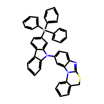 c1ccc([Si](c2ccccc2)(c2ccccc2)c2ccc3c4ccccc4n(-c4ccc5nc6n(c5c4)-c4ccccc4CS6)c3c2)cc1